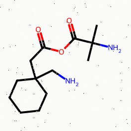 CC(C)(N)C(=O)OC(=O)CC1(CN)CCCCC1